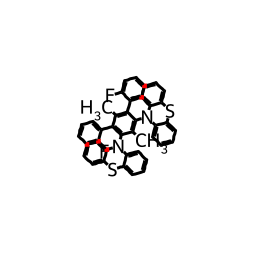 Cc1c(-c2ccccc2F)c(N2c3ccccc3Sc3ccccc32)c(C)c(N2c3ccccc3Sc3ccccc32)c1-c1ccccc1F